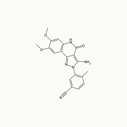 COc1cc2[nH]c(=O)c3c(N)n(-c4cc(C#N)ccc4C)nc3c2cc1OC